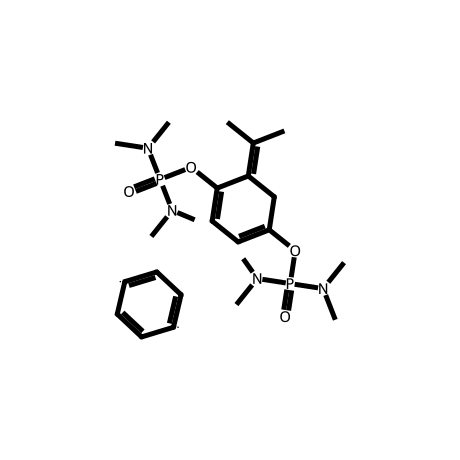 CC(C)=C1CC(OP(=O)(N(C)C)N(C)C)=CC=C1OP(=O)(N(C)C)N(C)C.[c]1cc[c]cc1